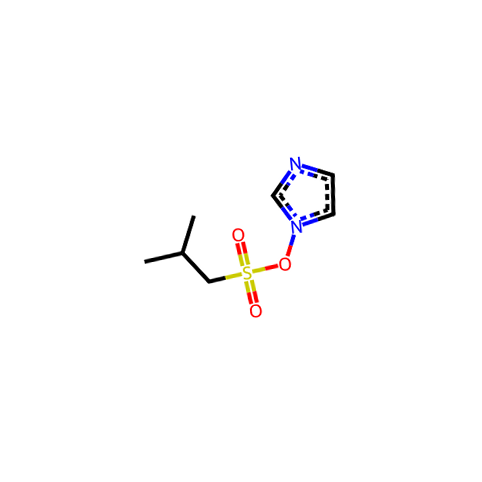 CC(C)CS(=O)(=O)On1ccnc1